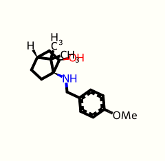 COc1ccc(CN[C@]23CC[C@H](C[C@H]2O)C3(C)C)cc1